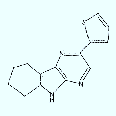 c1csc(-c2cnc3[nH]c4c(c3n2)CCCC4)c1